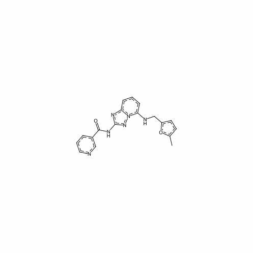 Cc1ccc(CNc2cccc3nc(NC(=O)c4cccnc4)nn23)o1